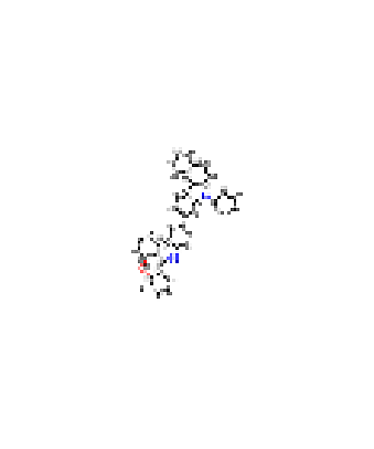 c1ccc(-n2c3cc(-c4ccc5nc6c7c(cccc7c5c4)Oc4ccccc4-6)ccc3c3c4ccccc4ccc32)cc1